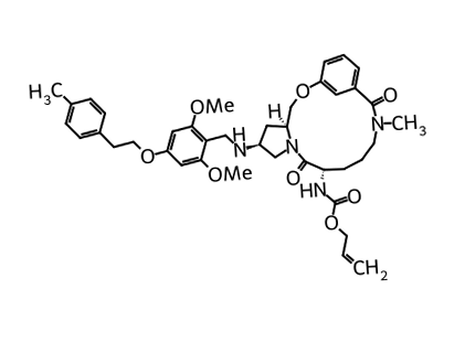 C=CCOC(=O)N[C@H]1CCCN(C)C(=O)c2cccc(c2)OC[C@@H]2C[C@H](NCc3c(OC)cc(OCCc4ccc(C)cc4)cc3OC)CN2C1=O